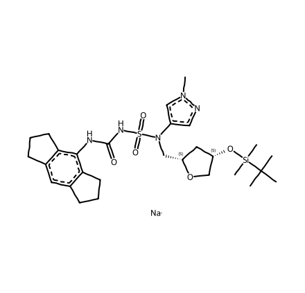 Cn1cc(N(C[C@@H]2C[C@H](O[Si](C)(C)C(C)(C)C)CO2)S(=O)(=O)NC(=O)Nc2c3c(cc4c2CCC4)CCC3)cn1.[Na]